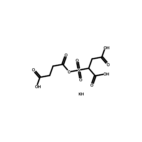 O=C(O)CCC(=O)OS(=O)(=O)C(CC(=O)O)C(=O)O.[KH]